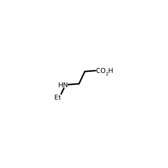 [CH2]CNCCC(=O)O